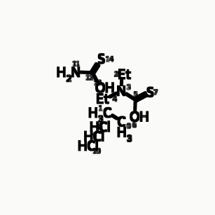 CC.CCN(CC)C(O)=S.Cl.Cl.Cl.NC(O)=S